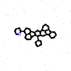 c1ccc(-c2c3cc4c5ccccc5c5cccc(c3cc3c6ccc(-c7ccccn7)c7cccc(c23)c76)c54)cc1